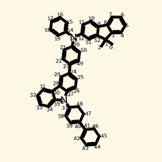 CC1(C)c2ccccc2-c2ccc(N(c3ccccc3)c3ccc(-c4ccc5c(c4)c4ccccc4n5C4=CC=C(C5=CC=CCC5)CC4)cc3)cc21